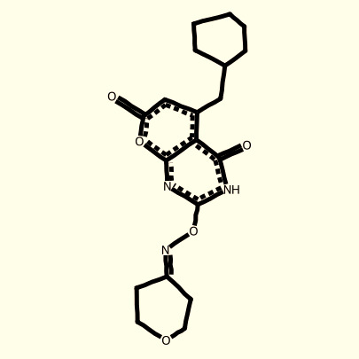 O=c1cc(CC2CCCCC2)c2c(=O)[nH]c(ON=C3CCOCC3)nc2o1